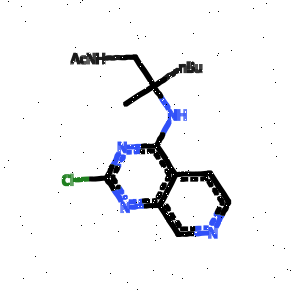 CCCCC(C)(CNC(C)=O)Nc1nc(Cl)nc2cnccc12